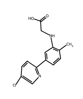 Cc1ccc(-c2ccc(Cl)cn2)cc1NCC(=O)O